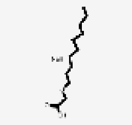 CCCCCCCCCCOCC(=O)O.[NaH]